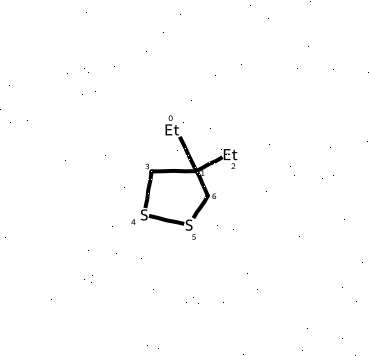 CCC1(CC)CSSC1